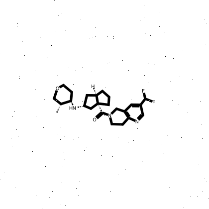 C[C@@H]1COCC[C@@H]1N[C@@H]1C[C@H]2CCC[C@@]2(C(=O)N2CCc3ncc(C(F)F)cc3C2)C1